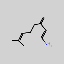 C=C(C=CN)CCC=C(C)C